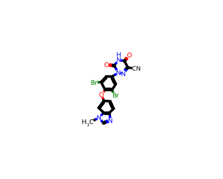 Cn1cnc2ccc(Oc3c(Br)cc(-n4nc(C#N)c(=O)[nH]c4=O)cc3Br)cc21